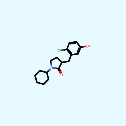 O=C1C(Cc2cc(O)ccc2Cl)CCN1C1CCCCC1